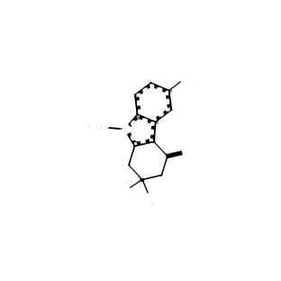 C[13C](=O)Nn1c2c(c3cc(C(F)(F)F)ccc31)C(=O)CC(C)(C)C2